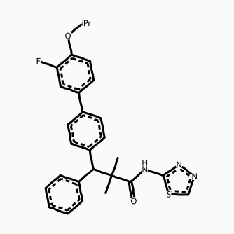 CC(C)Oc1ccc(-c2ccc(C(c3ccccc3)C(C)(C)C(=O)Nc3nncs3)cc2)cc1F